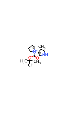 C[C@H]1CCC[N+]1(C(=O)OC(C)(C)C)[C@@H]1CCNC1